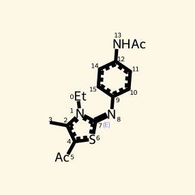 CCn1c(C)c(C(C)=O)s/c1=N/c1ccc(NC(C)=O)cc1